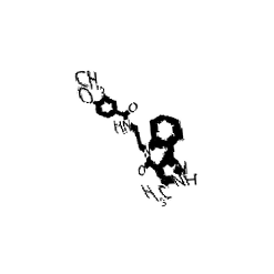 COc1ccc(C(=O)NCCn2c(=O)c3c(C)[nH]nc3c3ccccc32)cc1